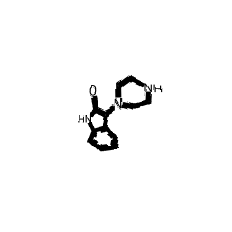 O=C1Nc2ccccc2C1N1CCNCC1